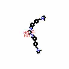 CC1CCCN1CCc1ccc(-c2ccc3c(c2)CN(C(CO)C(=O)C(CO)N2Cc4ccc(-c5ccc(CCN6CCCC6C)cc5)cc4C2)C3)cc1